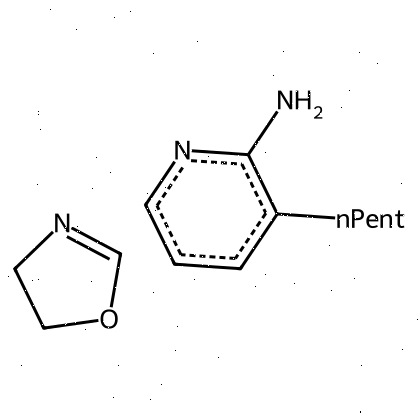 C1=NCCO1.CCCCCc1cccnc1N